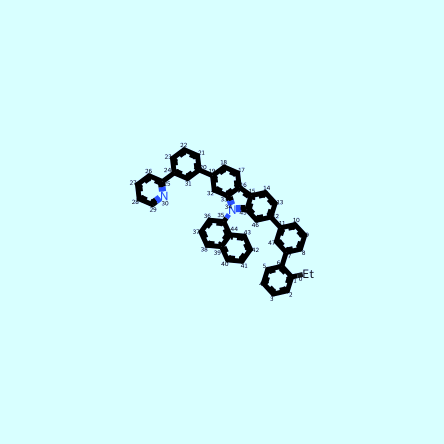 CCc1ccccc1-c1cccc(-c2ccc3c4ccc(-c5cccc(-c6ccccn6)c5)cc4n(-c4cccc5ccccc45)c3c2)c1